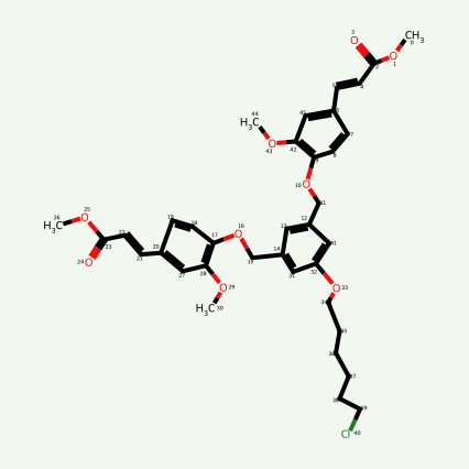 COC(=O)C=Cc1ccc(OCc2cc(COc3ccc(C=CC(=O)OC)cc3OC)cc(OCCCCCCCl)c2)c(OC)c1